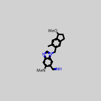 CNc1cc2ncn(Cc3cc4c(cc3C)C(OC)CC4)c2cc1C=N